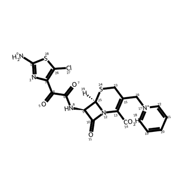 Nc1nc(C(=O)C(=O)N[C@@H]2C(=O)N3C(C(=O)O)=C(C[n+]4ccccc4)CS[C@H]23)c(Cl)s1